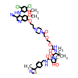 COc1cc(Nc2c(C#N)cnc3cc(OCCCN4CCN(C(=O)COCCOCC(=O)N[C@H](C(=O)N5C[C@H](O)C[C@H]5C(=O)NCc5ccc(-c6scnc6C)cc5)C(C)(C)C)CC4)c(OC)cc23)c(Cl)cc1Cl